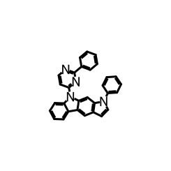 c1ccc(-c2nccc(-n3c4ccccc4c4cc5ccn(-c6ccccc6)c5cc43)n2)cc1